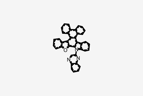 c1ccc2nc(-n3c4ccccc4c4c5c6ccccc6c6ccccc6c5c5c6ccccc6oc5c43)cnc2c1